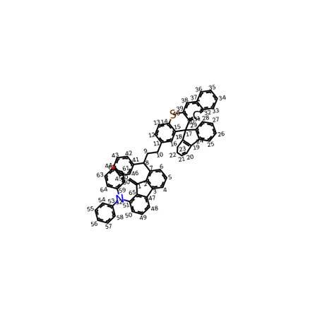 C=C1c2c(cccc2C(CCc2ccc3c(c2)C2(C4=C(C=CCC4)c4ccccc42)c2cc4ccccc4cc2S3)c2ccccc2)-c2cccc(N(c3ccccc3)c3ccccc3)c21